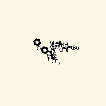 CC(CC(C)(C)C)C(=O)NC(C)(C)CS(=O)(=O)O/N=C(\c1ccc(Oc2ccccc2)cc1)C(F)(F)C(F)(F)C(F)(F)F